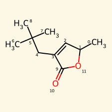 CC1C=C(CC(C)(C)C)C(=O)O1